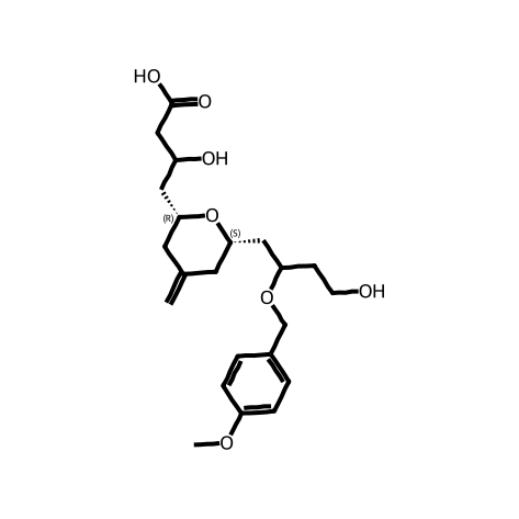 C=C1C[C@H](CC(O)CC(=O)O)O[C@H](CC(CCO)OCc2ccc(OC)cc2)C1